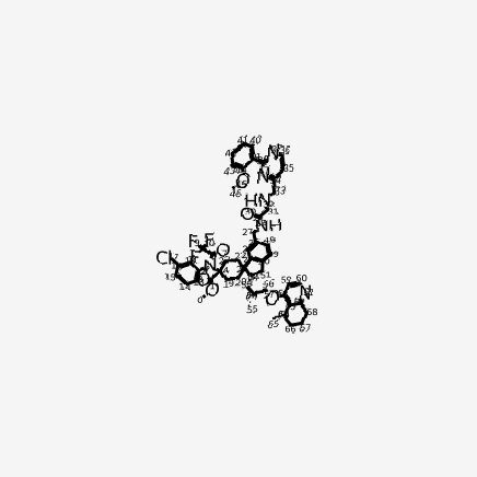 COC(=O)C1(N(C(=O)C(F)(F)F)c2cccc(Cl)c2)CCC2(CC1)c1cc(CNC(=O)CNCc3ccnc(-c4ccccc4OC)n3)ccc1C[C@@H]2C[C@@H](C)COc1ccnc2c1[C@H](C)CCC2